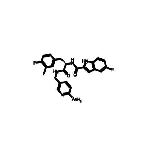 O=C(N[C@@H](Cc1ccc(F)c(F)c1)C(=O)NCc1ccc([AsH2])nc1)c1cc2cc(F)ccc2[nH]1